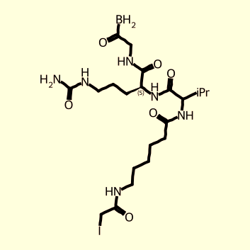 BC(=O)CNC(=O)[C@H](CCCNC(N)=O)NC(=O)C(NC(=O)CCCCCNC(=O)CI)C(C)C